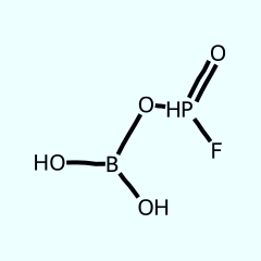 O=[PH](F)OB(O)O